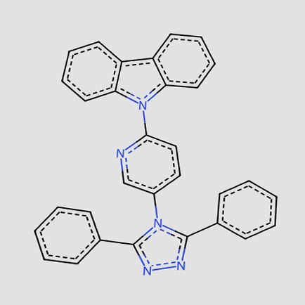 c1ccc(-c2nnc(-c3ccccc3)n2-c2ccc(-n3c4ccccc4c4ccccc43)nc2)cc1